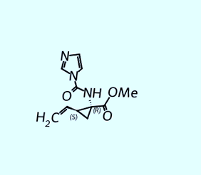 C=C[C@@H]1C[C@]1(NC(=O)n1ccnc1)C(=O)OC